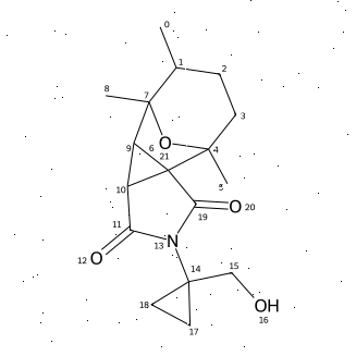 CC1CCC2(C)OC1(C)C1C3C(=O)N(C4(CO)CC4)C(=O)C312